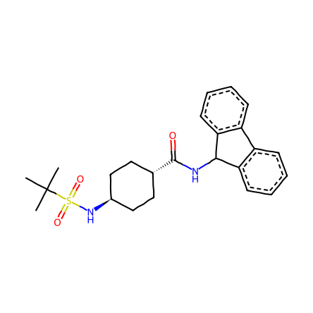 CC(C)(C)S(=O)(=O)N[C@H]1CC[C@H](C(=O)NC2c3ccccc3-c3ccccc32)CC1